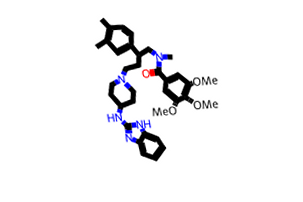 COc1cc(C(=O)N(C)CC(CCN2CCC(Nc3nc4ccccc4[nH]3)CC2)c2ccc(C)c(C)c2)cc(OC)c1OC